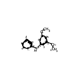 COc1cc(Nc2ccccc2)cc(OC)c1